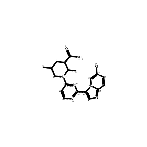 CC1CC(C(N)=O)C(C)N(c2ccnc(-c3cnc4ccc(Cl)cn34)n2)C1